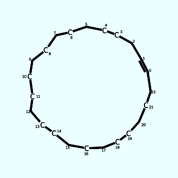 C1=CCCCCCCCCCCCCCCCCCCCCC1